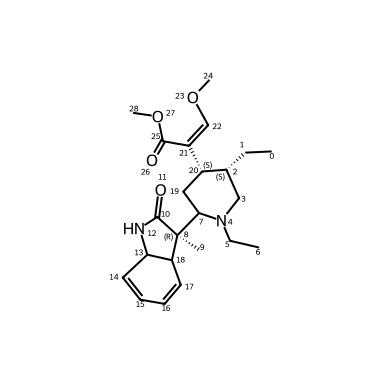 CC[C@@H]1CN(CC)C([C@]2(C)C(=O)NC3C=CC=CC32)C[C@@H]1C(=COC)C(=O)OC